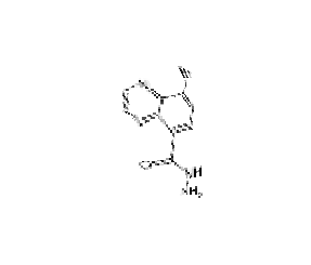 NNC(=O)c1ccc(Br)c2ncccc12